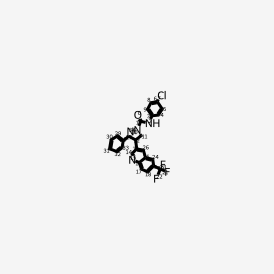 O=C(Nc1ccc(Cl)cc1)N1CC(c2cnc3ccc(C(F)(F)F)cc3c2)C(c2ccccc2)=N1